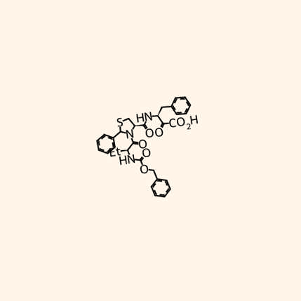 CC[C@H](NC(=O)OCc1ccccc1)C(=O)N1C(c2ccccc2)SC[C@H]1C(=O)N[C@@H](Cc1ccccc1)C(=O)C(=O)O